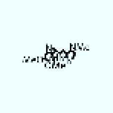 CNc1ccnc2[nH]c(-c3cn(C)c4cc(OC)c(OC)nc34)cc12